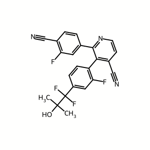 CC(C)(O)C(F)(F)c1ccc(-c2c(C#N)ccnc2-c2ccc(C#N)c(F)c2)c(F)c1